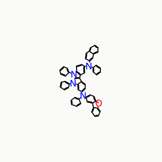 c1ccc(N(c2ccc3ccccc3c2)c2ccc3c(c2)c2c4ccc(N(c5ccccc5)c5ccc6oc7ccccc7c6c5)cc4n(-c4ccccc4)c2n3-c2ccccc2)cc1